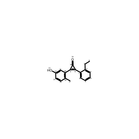 CCc1ccccc1-c1c(-c2cc(O)ccc2C)c1=O